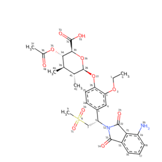 CCOc1cc([C@@H](CS(C)(=O)=O)N2C(=O)c3cccc(N)c3C2=O)ccc1O[C@@H]1O[C@H](C(=O)O)[C@@H](OC(C)=O)[C@H](C)[C@H]1C